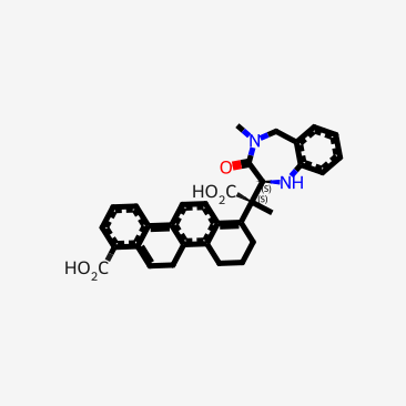 CN1Cc2ccccc2N[C@@H]([C@@](C)(C(=O)O)C2=c3ccc4c(c3CCC2)CC=c2c(C(=O)O)cccc2=4)C1=O